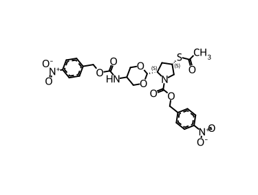 CC(=O)S[C@H]1C[C@@H](C2OCC(NC(=O)OCc3ccc([N+](=O)[O-])cc3)CO2)N(C(=O)OCc2ccc([N+](=O)[O-])cc2)C1